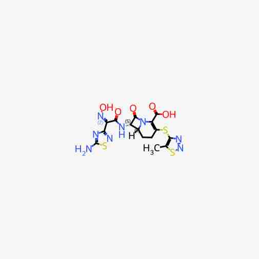 Cc1snnc1SC1=C(C(=O)O)N2C(=O)[C@@H](NC(=O)/C(=N\O)c3nsc(N)n3)[C@H]2CC1